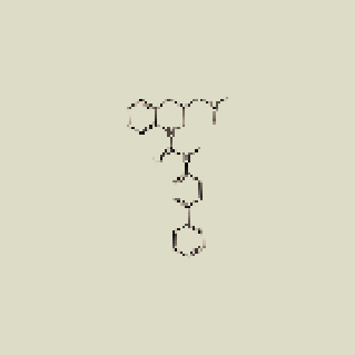 CN(C)CC1Cc2ccccc2N(C(=O)N(C)c2ccc(-c3ccccc3)cc2)C1